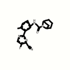 Cc1ccc(NC(=O)N2C3CCCC2C3)cc1-c1ncc(F)c(C#N)n1